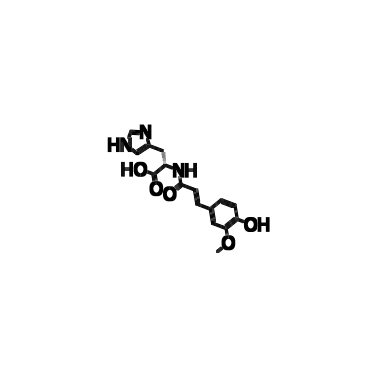 COc1cc(/C=C/C(=O)N[C@@H](Cc2c[nH]cn2)C(=O)O)ccc1O